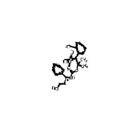 CC1(C)OC(N[C@@H](CCO)c2ccccc2)=NS(=O)(=O)C1c1ccccc1Cl